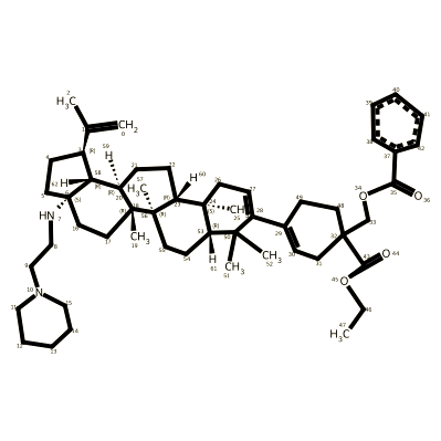 C=C(C)[C@@H]1CC[C@]2(NCCN3CCCCC3)CC[C@]3(C)[C@H](CC[C@@H]4[C@@]5(C)CC=C(C6=CCC(COC(=O)c7ccccc7)(C(=O)OCC)CC6)C(C)(C)[C@@H]5CC[C@]43C)[C@@H]12